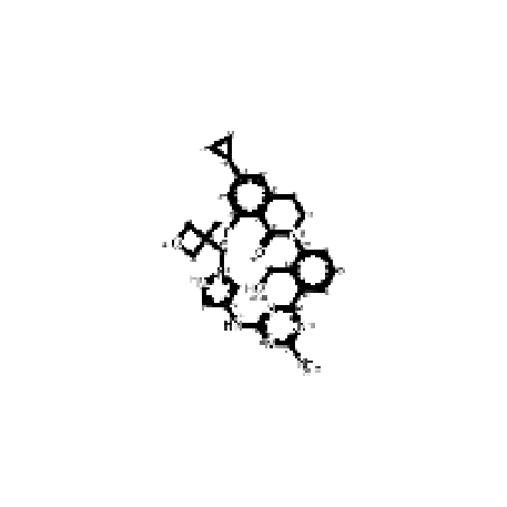 CC1(Cn2cc(Nc3nc(N)nc(-c4cccc(N5CCc6cc(C7CC7)cc(F)c6C5=O)c4CO)n3)cn2)COC1